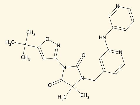 CC(C)(C)c1cc(N2C(=O)N(Cc3ccnc(Nc4cccnc4)c3)C(C)(C)C2=O)no1